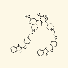 CN(C(=O)C1CCN(CCOc2ccc(Oc3nc4ccccc4s3)cc2)CC1)C(C(=O)O)C(CC(=O)O)C1CCN(CCc2ccc(Oc3nc4ccccc4s3)cc2)CC1